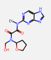 CCN(C(=O)C(=O)N(CO)C1CCCO1)c1ncc2[nH]cnc2n1